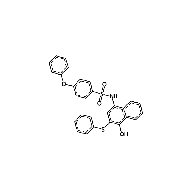 O=S(=O)(Nc1cc(Sc2ccccc2)c(O)c2ccccc12)c1ccc(Oc2ccccc2)cc1